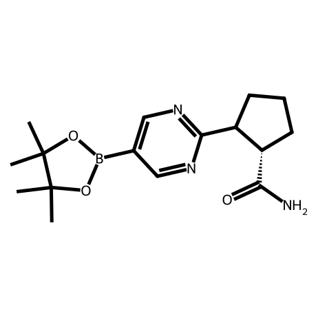 CC1(C)OB(c2cnc(C3CCC[C@@H]3C(N)=O)nc2)OC1(C)C